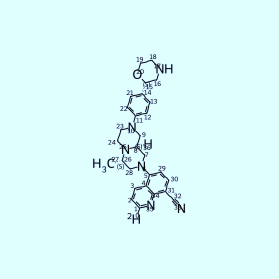 [2H]c1ccc2c(N3C[C@@H]4CN(c5ccc([C@H]6CNCCO6)cc5)CCN4[C@@H](C)C3)ccc(C#N)c2n1